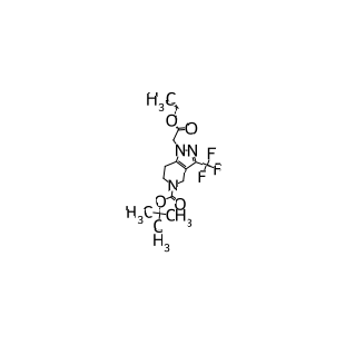 CCOC(=O)Cn1nc(C(F)(F)F)c2c1CCN(C(=O)OC(C)(C)C)C2